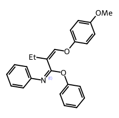 CCC(=COc1ccc(OC)cc1)/C(=N\c1ccccc1)Oc1ccccc1